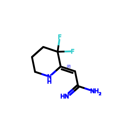 N=C(N)/C=C1\NCCCC1(F)F